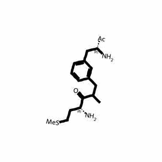 CSCC[C@@H](N)C(=O)C(C)Cc1cccc(C[C@@H](N)C(C)=O)c1